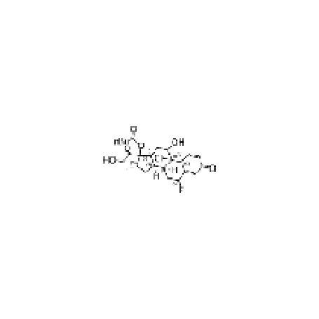 CCCCC(=O)O[C@]1(C(=O)CO)[C@@H](C)C[C@H]2[C@@H]3C[C@H](F)C4=CC(=O)C=C[C@]4(C)[C@@]3(Cl)C(O)C[C@@]21C